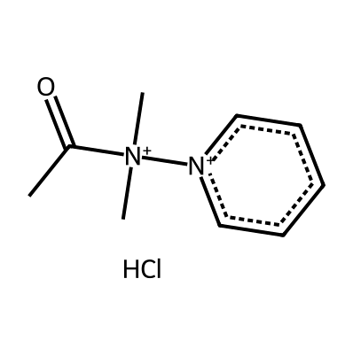 CC(=O)[N+](C)(C)[n+]1ccccc1.Cl